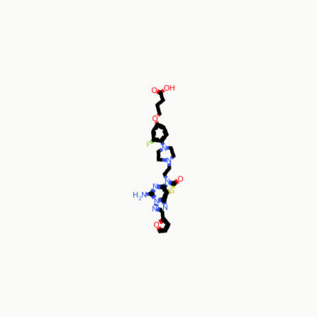 Nc1nc2c(sc(=O)n2CCN2CCN(c3ccc(OCCCC(=O)O)cc3F)CC2)c2nc(-c3ccco3)nn12